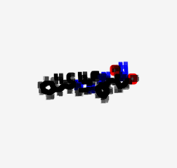 C[C@H](CCCC1CCCCC1)N1CCN(c2cccc3c(C4CCC(=O)NC4=O)nn(C)c23)CC1